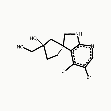 N#CC[C@]1(O)CC[C@@]2(CNc3ncc(Br)c(Cl)c32)C1